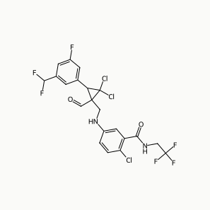 O=CC1(CNc2ccc(Cl)c(C(=O)NCC(F)(F)F)c2)C(c2cc(F)cc(C(F)F)c2)C1(Cl)Cl